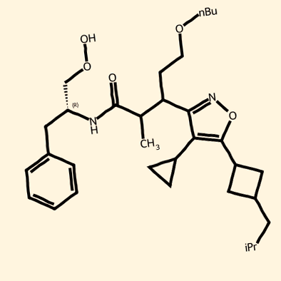 CCCCOCCC(c1noc(C2CC(CC(C)C)C2)c1C1CC1)C(C)C(=O)N[C@@H](COO)Cc1ccccc1